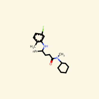 CCCC(CCC(=O)N(C)C1CCCCC1)Nc1cc(F)ccc1C